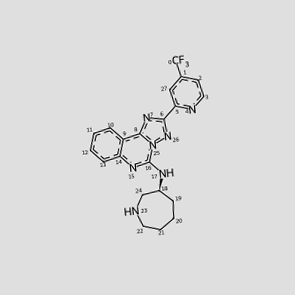 FC(F)(F)c1ccnc(-c2nc3c4ccccc4nc(N[C@H]4CCCCNC4)n3n2)c1